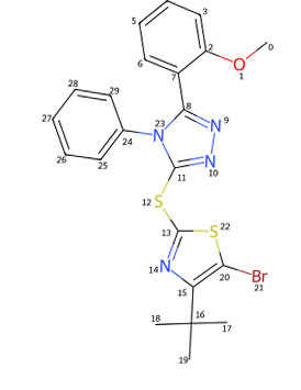 COc1ccccc1-c1nnc(Sc2nc(C(C)(C)C)c(Br)s2)n1-c1ccccc1